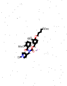 CCCCCCCCCCCCCCOc1ccc(COC(=O)N(Cc2cc[n+](CC)cc2)C(=O)c2ccccc2OC)cc1C(C)(C)C.[I-]